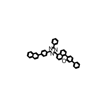 c1ccc(-c2ccc3c(c2)Oc2ccc(-c4nc(-c5ccccc5)nc(-c5ccc(-c6ccc7ccccc7c6)cc5)n4)c4cccc-3c24)cc1